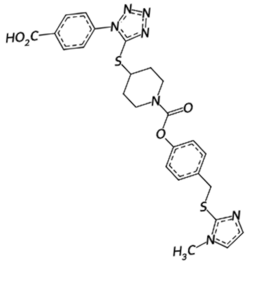 Cn1ccnc1SCc1ccc(OC(=O)N2CCC(Sc3nnnn3-c3ccc(C(=O)O)cc3)CC2)cc1